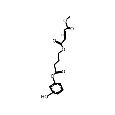 COC(=O)/C=C/C(=O)OCCCC(=O)Oc1cccc(O)c1